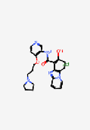 Cl.O=C(Nc1cnccc1OCCCN1CCCC1)C1=C(O)CCc2c1nc1ccccn21